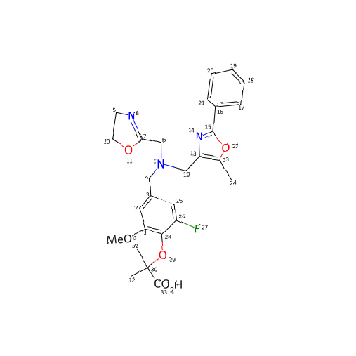 COc1cc(CN(CC2=NCCO2)Cc2nc(-c3ccccc3)oc2C)cc(F)c1OC(C)(C)C(=O)O